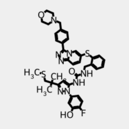 CSCC(C)(C)c1cc(NC(=O)NCc2ccccc2Sc2ccc3nnc(-c4ccc(CN5CCOCC5)cc4)n3c2)n(-c2ccc(F)c(O)c2)n1